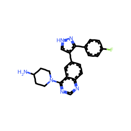 NC1CCN(c2ncnc3ccc(-c4c[nH]nc4-c4ccc(F)cc4)cc23)CC1